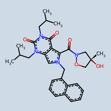 CC(C)Cn1c(=O)c2c(C(=O)N3C[C@](C)(O)CO3)n(Cc3cccc4ccccc34)cc2n(CC(C)C)c1=O